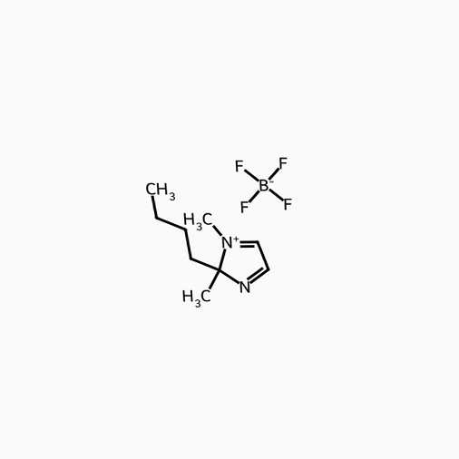 CCCCC1(C)N=CC=[N+]1C.F[B-](F)(F)F